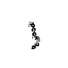 Cc1ccc([C@@H]2CCC[C@H](CNc3ncnc(C(=O)N4CCC(N5CCC(c6cccc(C(=O)O)c6)CC5)CC4)c3C)O2)cc1